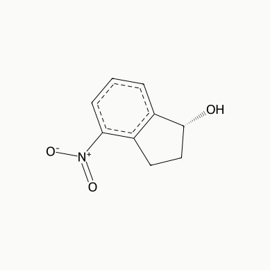 O=[N+]([O-])c1cccc2c1CC[C@H]2O